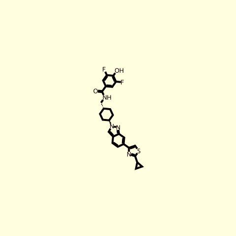 O=C(NC[C@H]1CC[C@H](n2cc3ccc(-c4csc(C5CC5)n4)cc3n2)CC1)c1cc(F)c(O)c(F)c1